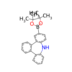 CC1(C)OB(c2ccc3c(c2)-c2ccccc2-c2ccccc2N3)OC1(C)C